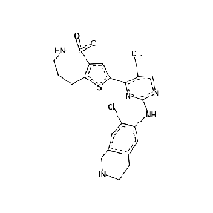 O=S1(=O)NCCCc2sc(-c3nc(Nc4cc5c(cc4Cl)CNCC5)ncc3C(F)(F)F)cc21